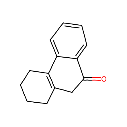 O=C1CC2=C(CCCC2)c2ccccc21